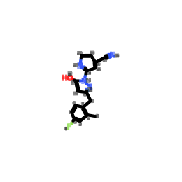 Cc1cc(F)ccc1Cc1cc(O)n(-c2cc(C#N)ccn2)n1